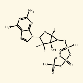 C[C@]1(F)[C@H](n2cnc3c(N)nc(N)nc32)O[C@@H]2C(OP(=O)(O)OP(=O)(O)OP(=O)(O)O)[C@@]21O